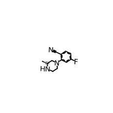 C[C@H]1CN(c2cc(F)ccc2C#N)CCN1